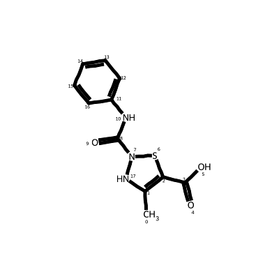 CC1=C(C(=O)O)SN(C(=O)Nc2ccccc2)N1